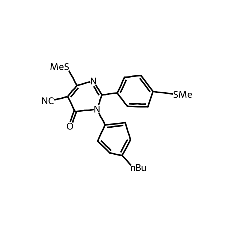 CCCCc1ccc(-n2c(-c3ccc(SC)cc3)nc(SC)c(C#N)c2=O)cc1